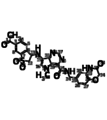 CC(=O)c1ccc2c(c1)S(=O)(=O)CC2Nc1cn(C)c2c(C(=O)NCc3ccc4c(c3)NC(=O)CO4)ncnc12